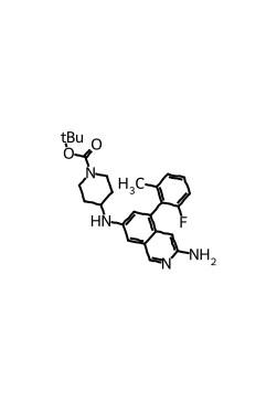 Cc1cccc(F)c1-c1cc(NC2CCN(C(=O)OC(C)(C)C)CC2)cc2cnc(N)cc12